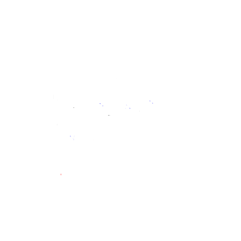 CC(C)(C)[C@H](NC(=O)n1c(=O)n(Cc2ccc(F)cc2)c2ccccc21)C(=O)NCCO